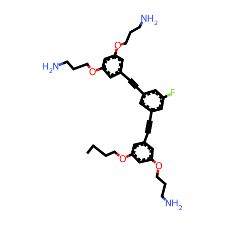 CCCCOc1cc(C#Cc2cc(F)cc(C#Cc3cc(OCCCN)cc(OCCCN)c3)c2)cc(OCCCN)c1